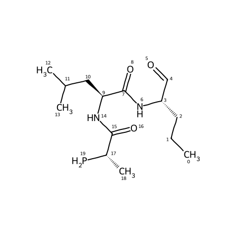 CCC[C@@H](C=O)NC(=O)[C@H](CC(C)C)NC(=O)[C@H](C)P